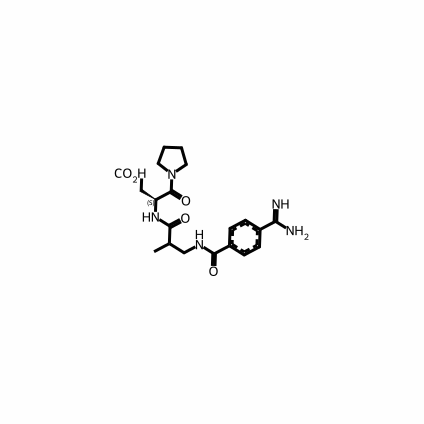 CC(CNC(=O)c1ccc(C(=N)N)cc1)C(=O)N[C@@H](CC(=O)O)C(=O)N1CCCC1